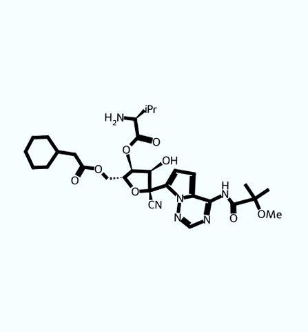 COC(C)(C)C(=O)Nc1ncnn2c([C@]3(C#N)O[C@H](COC(=O)CC4CCCCC4)[C@@H](OC(=O)[C@@H](N)C(C)C)[C@H]3O)ccc12